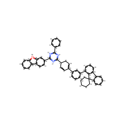 C1=CC(c2nc(-c3ccccc3)nc(-c3ccc4c(c3)oc3ccccc34)n2)CC=C1c1cccc(-c2cccc3c2C2(CCCCC2)c2ccccc2-3)c1